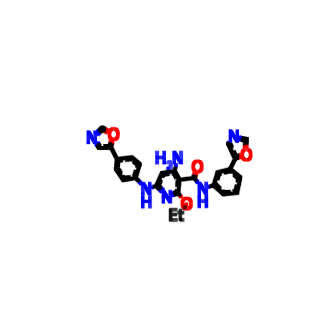 CCOc1nc(Nc2ccc(-c3cnco3)cc2)cc(N)c1C(=O)Nc1cccc(-c2cnco2)c1